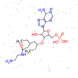 CCC(CC(=O)NCCN)CC(CC)OC1C(COP(=O)(O)O)OC(n2cnc3c2N=CNC3N)C1O